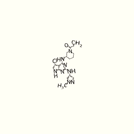 C=CC(=O)N1CCCC(Nc2nc(Nc3cnn(C)c3)nc3[nH]cc(Cl)c23)C1